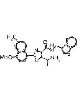 COc1ccc(-c2nc(C(=O)NCc3csc4ccccc34)c([C@H](C)N)o2)c2ccc(C(F)(F)F)nc12